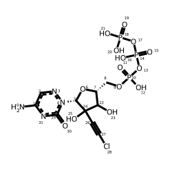 Nc1cnn([C@@H]2O[C@H](COP(=O)(O)OP(=O)(O)OP(=O)(O)O)C(O)C2(O)C#CCl)c(=O)n1